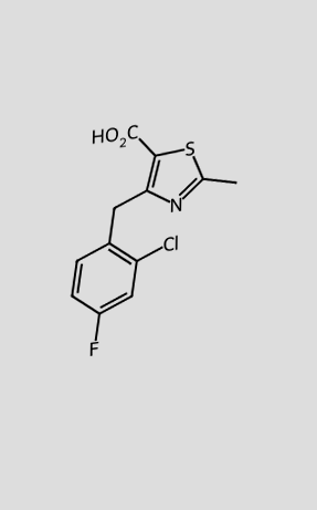 Cc1nc(Cc2ccc(F)cc2Cl)c(C(=O)O)s1